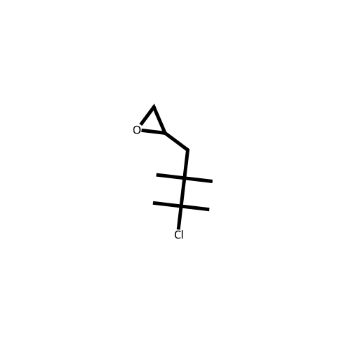 CC(C)(Cl)C(C)(C)CC1CO1